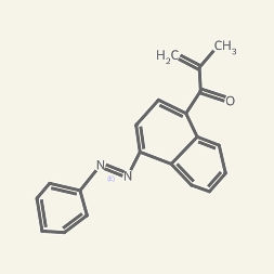 C=C(C)C(=O)c1ccc(/N=N/c2ccccc2)c2ccccc12